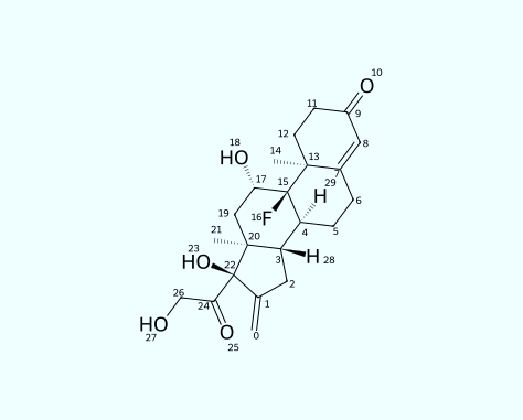 C=C1C[C@H]2[C@@H]3CCC4=CC(=O)CC[C@]4(C)[C@@]3(F)[C@@H](O)C[C@]2(C)[C@@]1(O)C(=O)CO